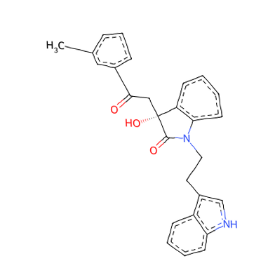 Cc1cccc(C(=O)C[C@]2(O)C(=O)N(CCc3c[nH]c4ccccc34)c3ccccc32)c1